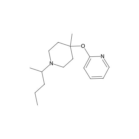 CCCC(C)N1CCC(C)(Oc2ccccn2)CC1